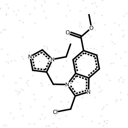 CCn1cncc1Cn1c(CCl)nc2ccc(C(=O)OC)cc21